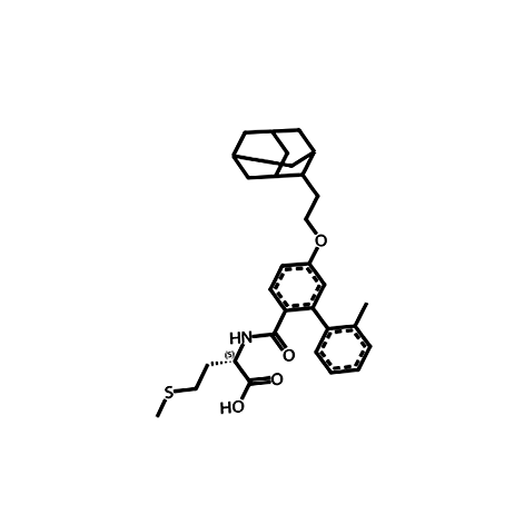 CSCC[C@H](NC(=O)c1ccc(OCCC2C3CC4CC(C3)CC2C4)cc1-c1ccccc1C)C(=O)O